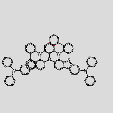 c1ccc(-c2ccccc2N2c3cccc4c3B(c3ccc5c(sc6cc(N(c7ccccc7)c7ccccc7)ccc65)c32)c2ccc3c(sc5cc(N(c6ccccc6)c6ccccc6)ccc53)c2N4c2ccccc2-c2ccccc2)cc1